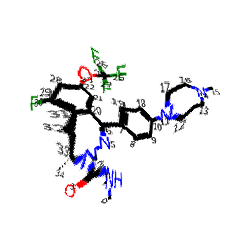 CNC(=O)N1N=C(c2ccc(N3CCN(C)CC3)cc2)c2cc(OC(F)(F)F)cc(F)c2C[C@H]1C